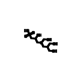 O=S(=O)(O)CC(O)CN(CO)CC(CO)CO